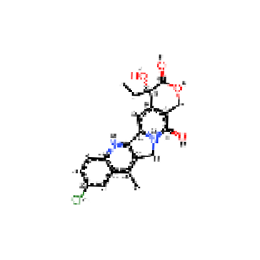 CC[C@@]1(O)C(=O)OCc2c1cc1n(c2=O)Cc2c-1nc1ccc(Cl)cc1c2C